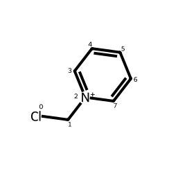 ClC[n+]1ccccc1